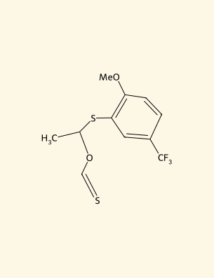 COc1ccc(C(F)(F)F)cc1SC(C)OC=S